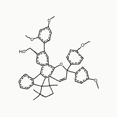 COc1ccc(C2(c3ccc(OC)cc3)C=Cc3c4c(c5cc(CO)c(-c6ccc(OC)cc6OC)cc5c3O2)-c2ccccc2C42C(C)(C)CCC2(C)C)cc1